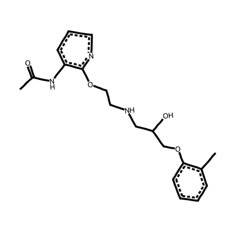 CC(=O)Nc1cccnc1OCCNCC(O)COc1ccccc1C